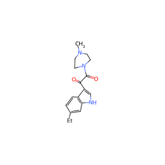 CCc1ccc2c(C(=O)C(=O)N3CCN(C)CC3)c[nH]c2c1